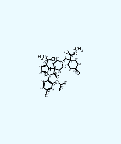 COC(=O)C1(CN2CCC(C(=O)Nc3ccc(Cl)cc3OC(F)F)(n3nccc3C(C)C)CC2)CCC(=O)CC1